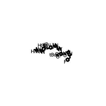 Cc1[nH]nc(Nc2ncnc3cc(OCC4CCN(c5cc(N6CCN(C[C@H]7CN(C(=O)OC(C)(C)C)[C@@H](C)CN7CC(=O)N7CC(C)(C)c8ncc(Cc9ccc(F)cc9)cc87)[C@H](C)C6)ncn5)CC4)c(S(=O)(=O)C(C)(C)C)cc23)c1C